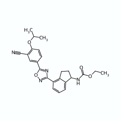 CCOC(=O)NC1CCc2c(-c3noc(-c4ccc(OC(C)C)c(C#N)c4)n3)cccc21